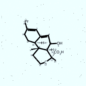 CC(C)C1=CC2=CC(O)[C@@H]3[C@](C)(CCC[C@@]3(C)C(=O)O)[C@H]2CC1